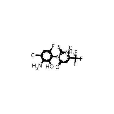 Cn1c(C(F)(F)F)cc(=O)n(-c2c(F)cc(Cl)c(N)c2O)c1=S